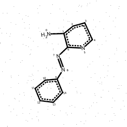 Nc1cccnc1N=Nc1ccccc1